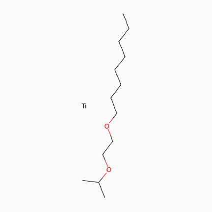 CCCCCCCCOCCOC(C)C.[Ti]